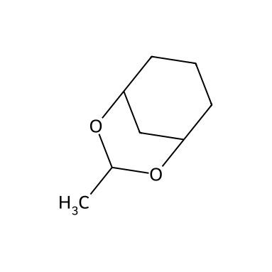 CC1OC2CCCC(C2)O1